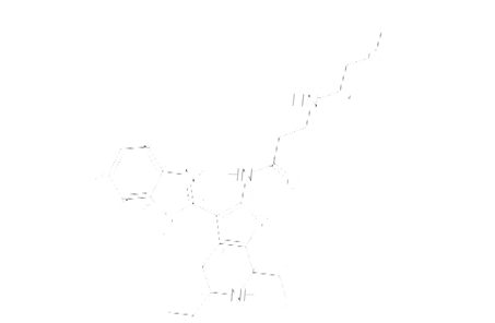 CCC1Cc2c(sc(NC(=O)CCNCCOC)c2-c2nc3ccccc3s2)C(CC)N1